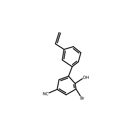 C=Cc1cccc(-c2cc(C#N)cc(Br)c2O)c1